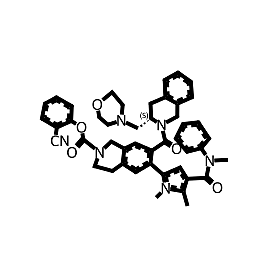 Cc1c(C(=O)N(C)c2ccccc2)cc(-c2cc3c(cc2C(=O)N2Cc4ccccc4C[C@H]2CN2CCOCC2)CN(C(=O)Oc2ccccc2C#N)CC3)n1C